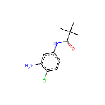 CC(C)(C)C(=O)Nc1ccc(Cl)c(N)c1